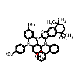 Cc1cc2c3c(c1)N(c1ccccc1-c1ccccc1)c1c(sc4cc5c(cc14)C(C)(C)CCC5(C)C)B3c1cc(C(C)(C)C)ccc1N2c1ccc(C(C)(C)C)cc1